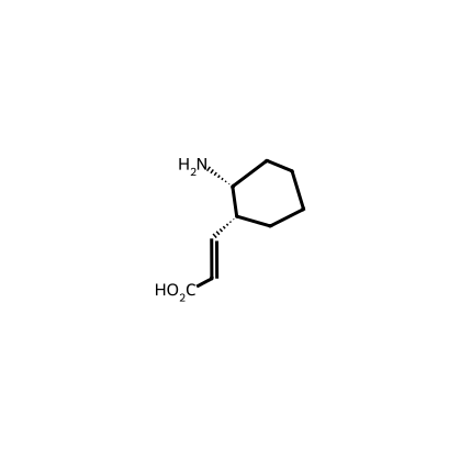 N[C@@H]1CCCC[C@@H]1/C=C/C(=O)O